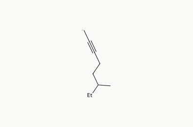 [CH2]C#CCCC(C)CC